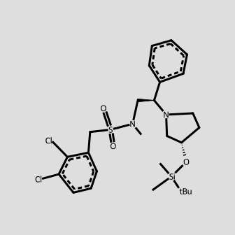 CN(C[C@@H](c1ccccc1)N1CC[C@H](O[Si](C)(C)C(C)(C)C)C1)S(=O)(=O)Cc1cccc(Cl)c1Cl